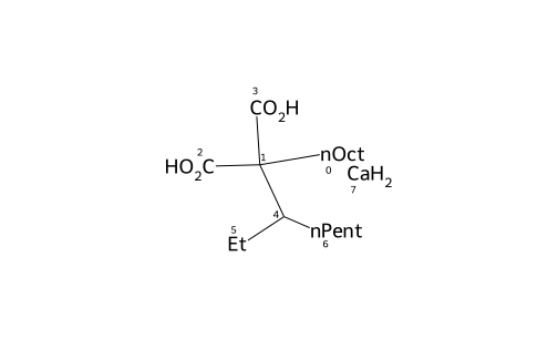 CCCCCCCCC(C(=O)O)(C(=O)O)C(CC)CCCCC.[CaH2]